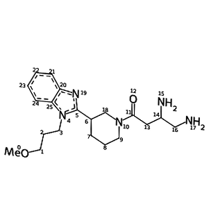 COCCCn1c(C2CCCN(C(=O)CC(N)CN)C2)nc2ccccc21